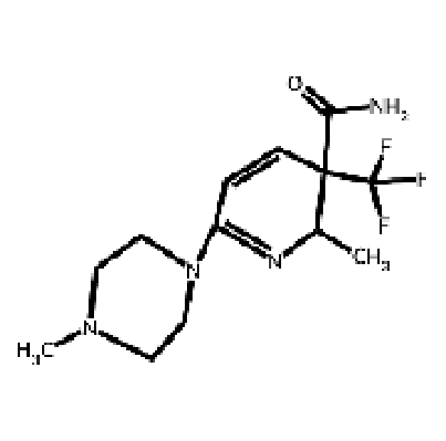 CC1N=C(N2CCN(C)CC2)C=CC1(C(N)=O)C(F)(F)F